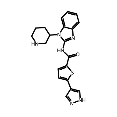 O=C(Nc1nc2ccccc2n1C1CCCNC1)c1ccc(-c2cn[nH]c2)s1